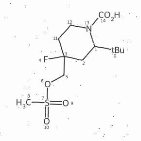 CC(C)(C)C1CC(F)(COS(C)(=O)=O)CCN1C(=O)O